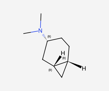 CN(C)[C@@H]1CC[C@@H]2C[C@@H]2C1